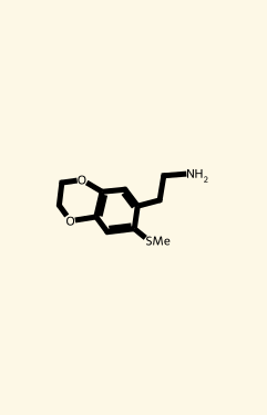 CSc1cc2c(cc1CCN)OCCO2